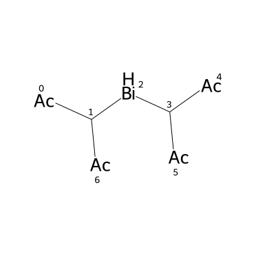 CC(=O)[CH]([BiH][CH](C(C)=O)C(C)=O)C(C)=O